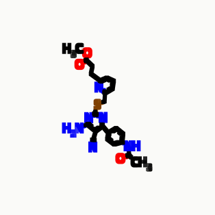 COC(=O)CCc1cccc(CSc2nc(N)c(C#N)c(-c3ccc(NC(C)=O)cc3)n2)n1